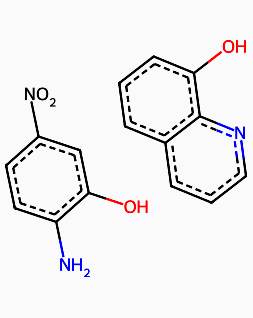 Nc1ccc([N+](=O)[O-])cc1O.Oc1cccc2cccnc12